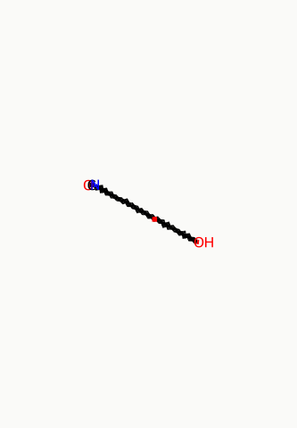 O=C=NCCCCCCCCCCCCCCCCCCCCCCCCCCCCCCCCCCCCCCCO